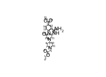 CCOC(=O)CN1CCC(N2CCN(c3ccc(C(=O)OC)cc3C(=N)N)C(=O)C2)CC1